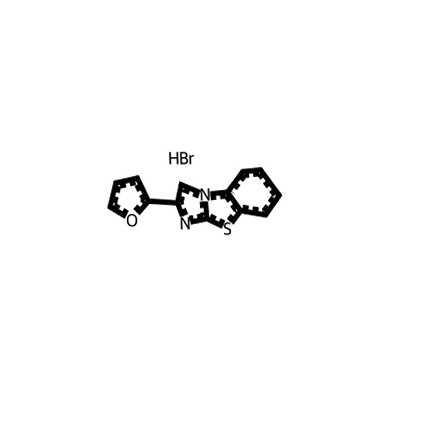 Br.c1coc(-c2cn3c(n2)sc2ccccc23)c1